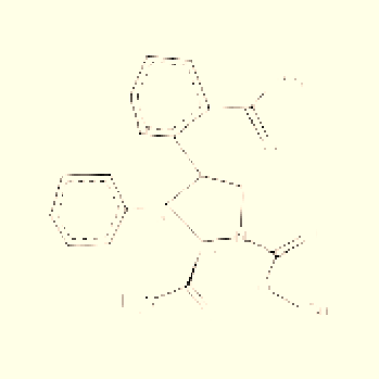 COC(=O)c1ccccc1C1CN(C(=O)OC(C)(C)C)[C@@H](C(N)=O)[C@@H]1c1ccccc1